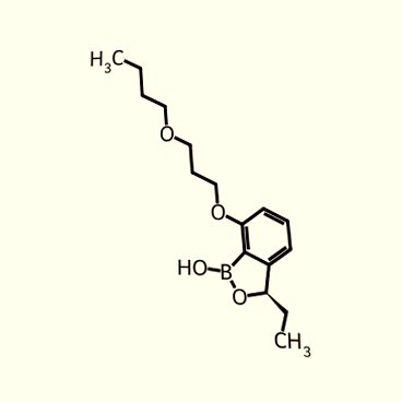 CCCCOCCCOc1cccc2c1B(O)O[C@@H]2CC